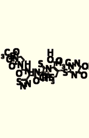 Cn1nc(O)c(=O)nc1SCC1=C(C(=O)O)N2C(=S)[C@@](C)(NC(=O)C(NC(=O)N3CCN(S(C)(=O)=O)C3=O)c3csnn3)[C@@H]2SC1